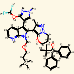 Cc1nn2c(c1-c1c(-c3cn(C)nc3OC(F)F)c3cccnc3n1COCC[Si](C)(C)C)OC[C@@H](O[Si](c1ccccc1)(c1ccccc1)C(C)(C)C)C2